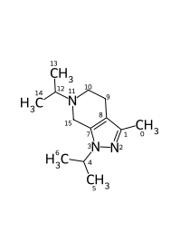 Cc1nn(C(C)C)c2c1CCN(C(C)C)C2